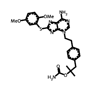 COc1ccc(OC)c(Sc2nc3c(N)ncn(CCc4ccc(CC(C)(C)OC(N)=O)cc4)c-3n2)c1